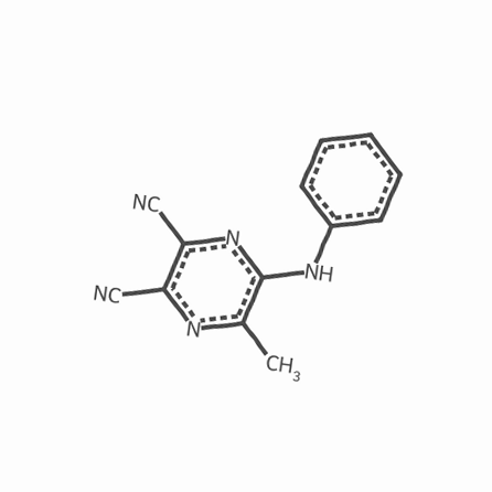 Cc1nc(C#N)c(C#N)nc1Nc1ccccc1